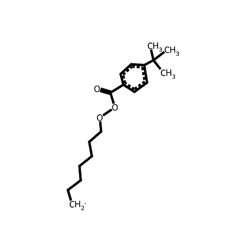 [CH2]CCCCCCOOC(=O)c1ccc(C(C)(C)C)cc1